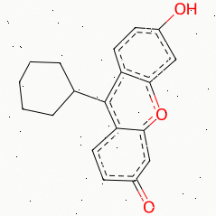 O=c1ccc2c(C3CCCCC3)c3ccc(O)cc3oc-2c1